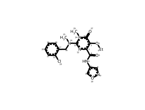 CCOc1c(C(=O)Nc2cnoc2)nc(N(C)Cc2ccccc2Cl)n(C)c1=O